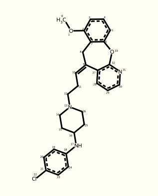 COc1cccc2c1C/C(=C/CCN1CCC(Nc3ccc(Cl)cc3)CC1)c1cccnc1O2